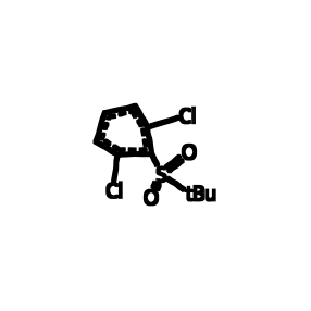 CC(C)(C)S(=O)(=O)c1c(Cl)cccc1Cl